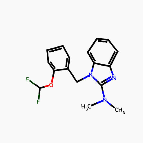 CN(C)c1nc2ccccc2n1Cc1ccccc1OC(F)F